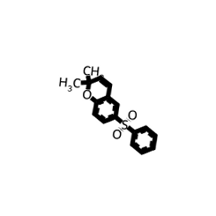 CC1(C)C=Cc2cc(S(=O)(=O)c3ccccc3)ccc2O1